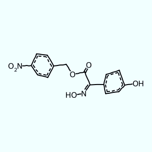 O=C(OCc1ccc([N+](=O)[O-])cc1)C(=NO)c1ccc(O)cc1